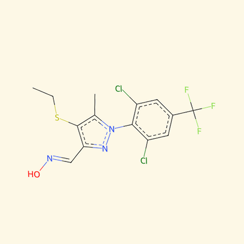 CCSc1c(/C=N/O)nn(-c2c(Cl)cc(C(F)(F)F)cc2Cl)c1C